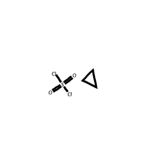 C1CC1.O=S(=O)(Cl)Cl